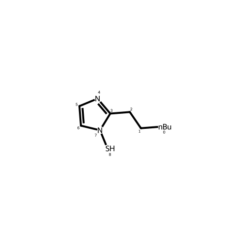 CCCCCCc1nccn1S